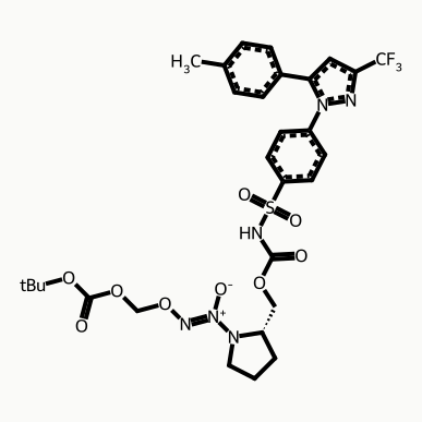 Cc1ccc(-c2cc(C(F)(F)F)nn2-c2ccc(S(=O)(=O)NC(=O)OC[C@@H]3CCCN3/[N+]([O-])=N/OCOC(=O)OC(C)(C)C)cc2)cc1